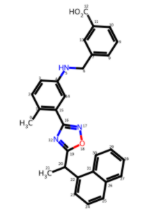 Cc1ccc(NCc2cccc(C(=O)O)c2)cc1-c1noc(C(C)c2cccc3ccccc23)n1